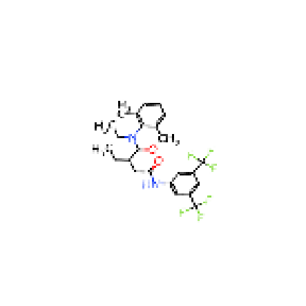 CCC(CC(=O)Nc1cc(C(F)(F)F)cc(C(F)(F)F)c1)C(=O)N(CC)c1c(C)cccc1C